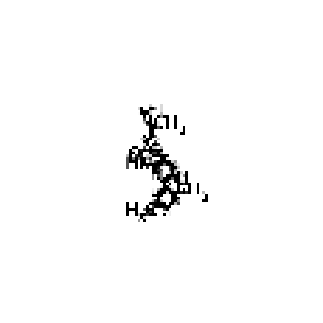 CC/C=N\C(C)=C/CS(=O)(=O)Nc1ccc(Cl)c(C2=CC(C)=CCC2C)n1